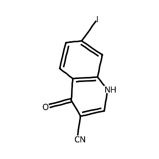 N#Cc1c[nH]c2cc(I)ccc2c1=O